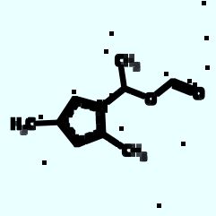 Cc1cc(C)n(C(C)OC=O)c1